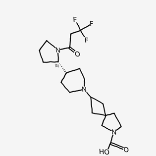 O=C(O)N1CCC2(CC(N3CCC([C@@H]4CCCN4C(=O)CC(F)(F)F)CC3)C2)C1